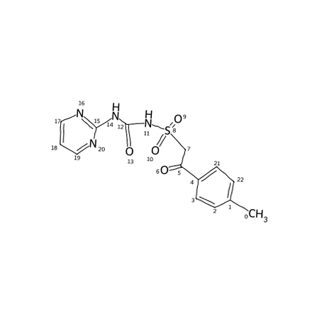 Cc1ccc(C(=O)CS(=O)(=O)NC(=O)Nc2ncccn2)cc1